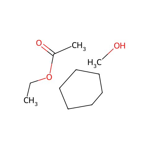 C1CCCCC1.CCOC(C)=O.CO